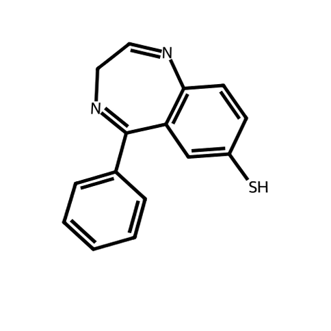 Sc1ccc2c(c1)C(c1ccccc1)=NCC=N2